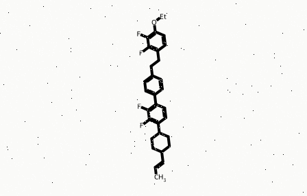 C/C=C/C1CCC(c2ccc(-c3ccc(CCc4ccc(OCC)c(F)c4F)cc3)c(F)c2F)CC1